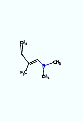 C=C/C(=C/N(C)C)C(F)(F)F